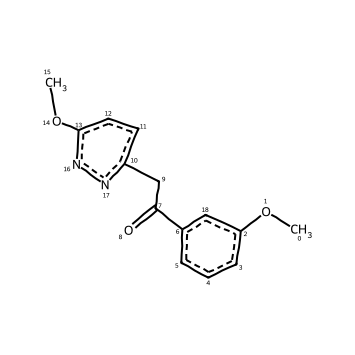 COc1cccc(C(=O)Cc2ccc(OC)nn2)c1